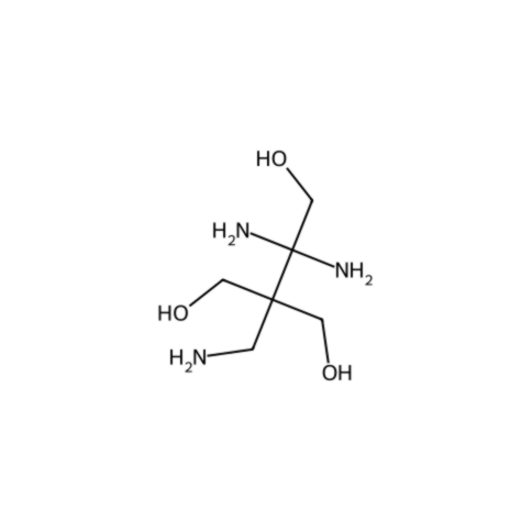 NCC(CO)(CO)C(N)(N)CO